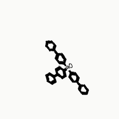 O=P(c1ccc(C2=CC=CCC2)cc1)(c1ccc(-c2ccccc2)cc1)c1ccc(-c2ccccc2)cc1